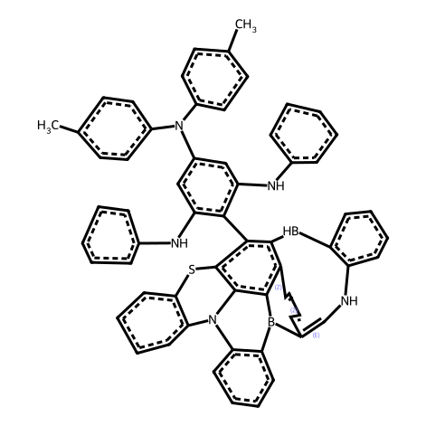 Cc1ccc(N(c2ccc(C)cc2)c2cc(Nc3ccccc3)c(-c3c4c5c6c7c3Sc3ccccc3N7c3ccccc3B6C(=C\Nc3ccccc3B4)/C=C\C=C/5)c(Nc3ccccc3)c2)cc1